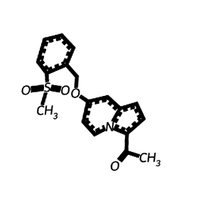 CC(=O)c1ccc2cc(OCc3ccccc3S(C)(=O)=O)ccn12